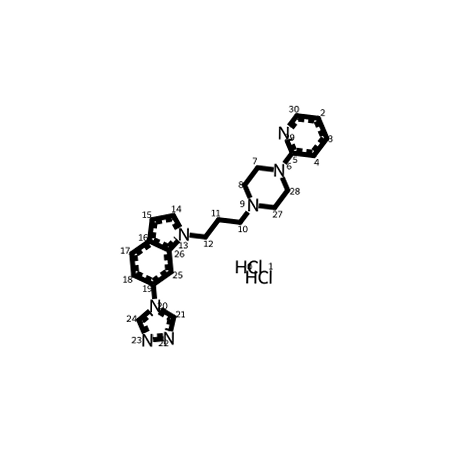 Cl.Cl.c1ccc(N2CCN(CCCn3ccc4ccc(-n5cnnc5)cc43)CC2)nc1